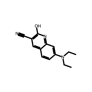 CCN(CC)c1ccc2cc(C#N)c(O)nc2c1